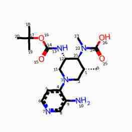 C[C@@H]1CN(c2ccncc2N)C[C@H](NC(=O)OC(C)(C)C)[C@H]1N(C)C(=O)O